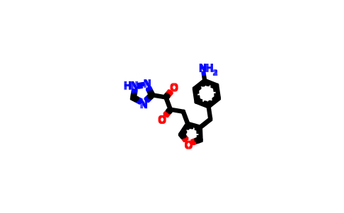 Nc1ccc(Cc2cocc2CC(=O)C(=O)c2nc[nH]n2)cc1